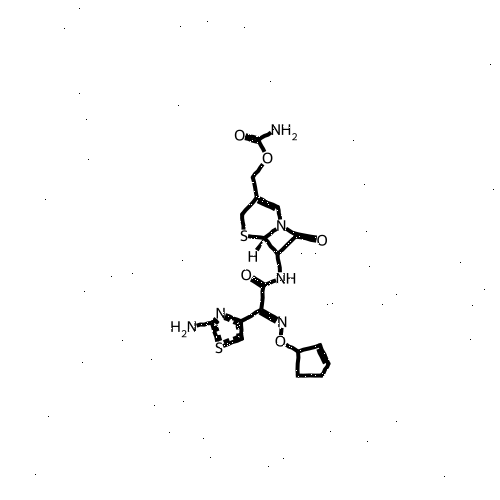 NC(=O)OCC1=CN2C(=O)C(NC(=O)C(=NOC3C=CCC3)c3csc(N)n3)[C@@H]2SC1